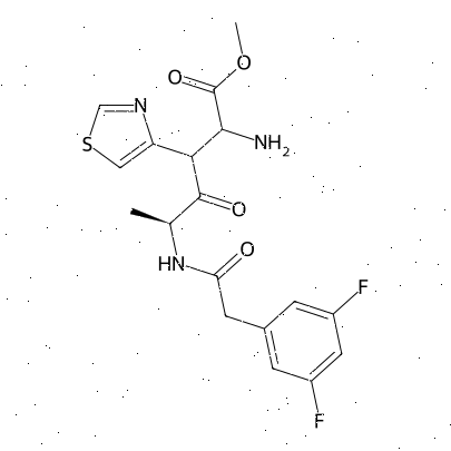 COC(=O)C(N)C(C(=O)[C@H](C)NC(=O)Cc1cc(F)cc(F)c1)c1cscn1